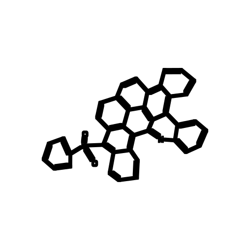 O=S(=O)(c1ccccc1)c1c2ccccc2c2c3nc4ccccc4c4c5ccccc5c5ccc6ccc1c2c6c5c34